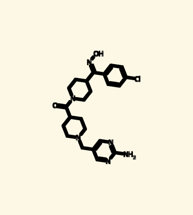 Nc1ncc(CN2CCC(C(=O)N3CCC(C(=NO)c4ccc(Cl)cc4)CC3)CC2)cn1